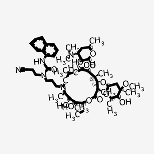 CC[C@H]1OC(=O)[C@H](C)[C@@H](O[C@H]2C[C@@](C)(OC)[C@@H](O)[C@H](C)O2)[C@H](C)[C@@H](O[C@@H]2O[C@H](C)C[C@H](N(C)C)[C@H]2O)[C@](C)(O)C[C@@H](C)CN(CCCN(CCC#N)C(=O)Nc2cccc3ccccc23)[C@H](C)[C@@H](O)[C@]1(C)O